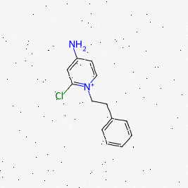 Nc1cc[n+](CCc2ccccc2)c(Cl)c1